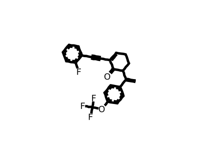 C=C(c1ccc(OC(F)(F)F)cc1)C1CCC=C(C#Cc2ccccc2F)C1=O